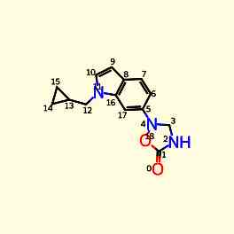 O=C1NCN(c2ccc3ccn(CC4CC4)c3c2)O1